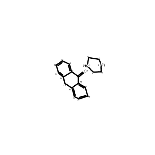 C1CNCCN1.O=C1c2ccccc2Cc2ccccc21